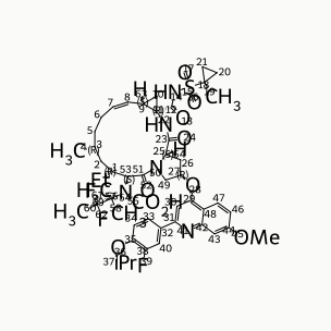 CC[C@@H]1C[C@H](C)CCC=C[C@@H]2C[C@@]2(C(=O)NS(=O)(=O)C2(C)CC2)NC(=O)[C@@H]2C[C@@H](Oc3cc(-c4ccc(OC(C)C)c(F)c4)nc4cc(OC)ccc34)CN2C(=O)[C@H]1N(C(=O)O)C(C)(C)C(C)(F)F